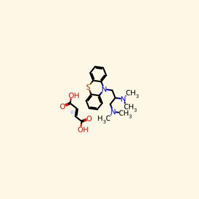 CN(C)CC(CN1c2ccccc2Sc2ccccc21)N(C)C.O=C(O)/C=C/C(=O)O